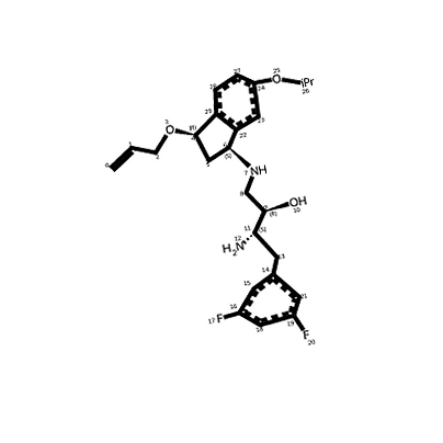 C=CCO[C@@H]1C[C@H](NC[C@@H](O)[C@@H](N)Cc2cc(F)cc(F)c2)c2cc(OC(C)C)ccc21